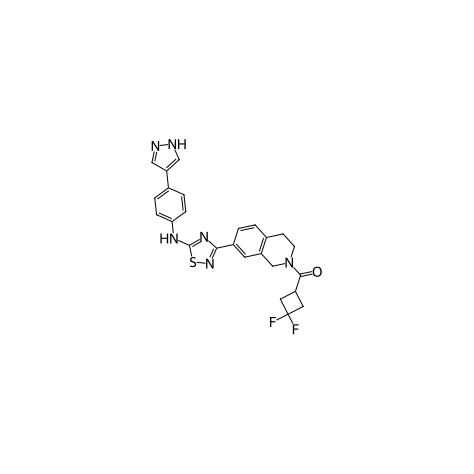 O=C(C1CC(F)(F)C1)N1CCc2ccc(-c3nsc(Nc4ccc(-c5cn[nH]c5)cc4)n3)cc2C1